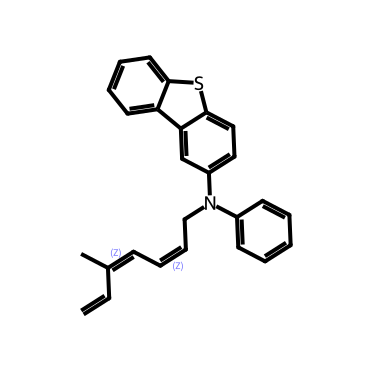 C=C/C(C)=C\C=C/CN(c1ccccc1)c1ccc2sc3ccccc3c2c1